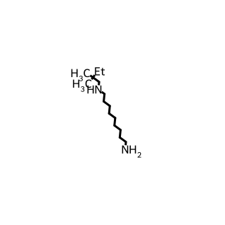 CCC(C)(C)CNCCCCCCCCCN